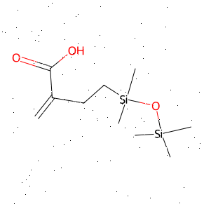 C=C(CC[Si](C)(C)O[Si](C)(C)C)C(=O)O